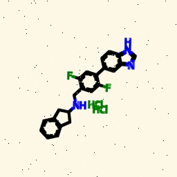 Cl.Cl.Fc1cc(-c2ccc3[nH]cnc3c2)c(F)cc1CNC1Cc2ccccc2C1